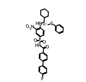 O=C(NS(=O)(=O)c1ccc(N[C@@H](CSc2ccccc2)C2CCCCC2)c([N+](=O)[O-])c1)c1ccc(-c2ccc(F)cc2)cc1